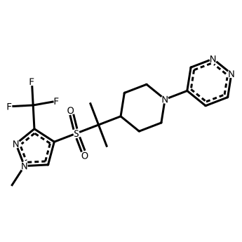 Cn1cc(S(=O)(=O)C(C)(C)C2CCN(c3ccnnc3)CC2)c(C(F)(F)F)n1